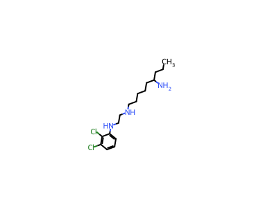 CCCC(N)CCCCCNCCNc1cccc(Cl)c1Cl